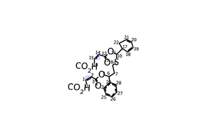 O=C(O)/C=C\C(=O)OC(CCSC(OC(=O)/C=C\C(=O)O)C1C=CC=CC1)c1ccccc1